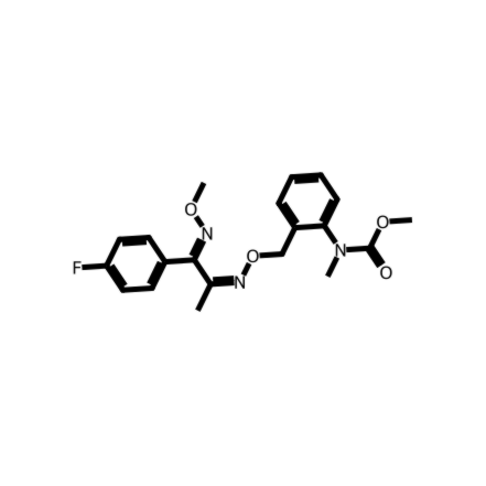 CON=C(C(C)=NOCc1ccccc1N(C)C(=O)OC)c1ccc(F)cc1